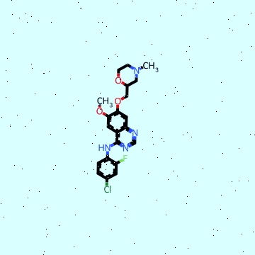 COc1cc2c(Nc3ccc(Cl)cc3F)ncnc2cc1OCC1CN(C)CCO1